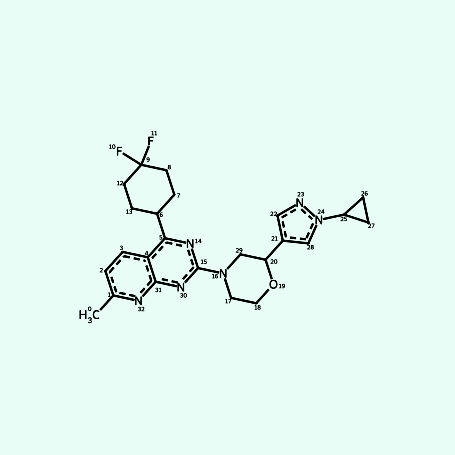 Cc1ccc2c(C3CCC(F)(F)CC3)nc(N3CCOC(c4cnn(C5CC5)c4)C3)nc2n1